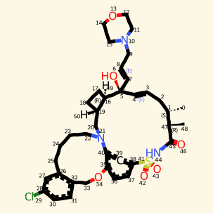 C[C@H]1C/C=C/[C@@](O)(/C=C/CN2CCOCC2)[C@@H]2CC[C@H]2CN2CCCCc3cc(Cl)ccc3COc3ccc(cc32)S(=O)(=O)NC(=O)[C@@H]1C